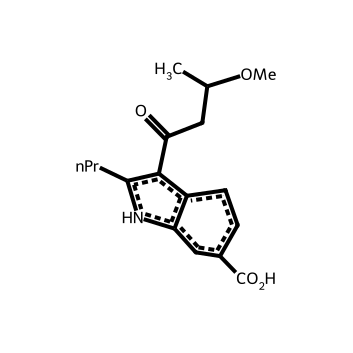 CCCc1[nH]c2cc(C(=O)O)ccc2c1C(=O)CC(C)OC